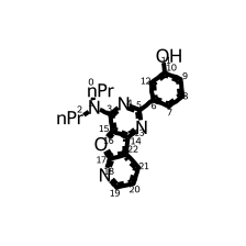 CCCN(CCC)c1nc(-c2cccc(O)c2)nc2c1oc1ncccc12